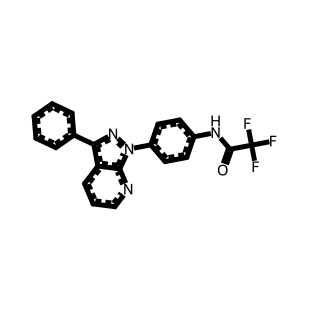 O=C(Nc1ccc(-n2nc(-c3ccccc3)c3cccnc32)cc1)C(F)(F)F